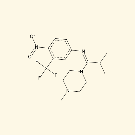 CC(C)C(=Nc1ccc([N+](=O)[O-])c(C(F)(F)F)c1)N1CCN(C)CC1